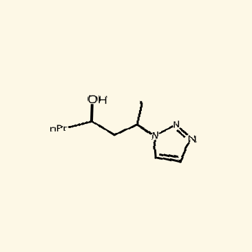 CCCC(O)CC(C)n1ccnn1